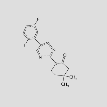 CC1(C)CCN(c2ncc(-c3cc(F)ccc3F)cn2)C(=O)C1